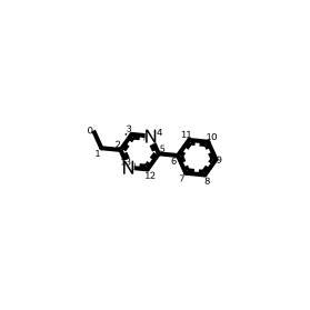 CCc1[c]nc(-c2ccccc2)cn1